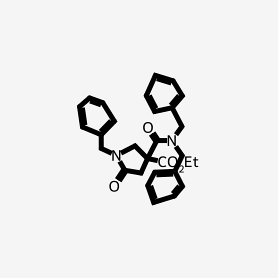 CCOC(=O)C1(C(=O)N(Cc2ccccc2)Cc2ccccc2)CC(=O)N(Cc2ccccc2)C1